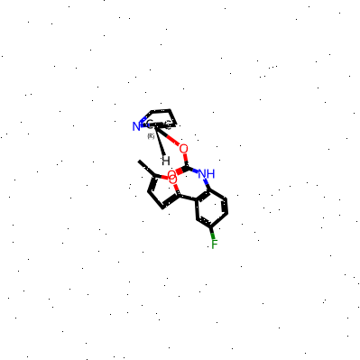 Cc1ccc(-c2cc(F)ccc2NC(=O)O[C@H]2CN3CCC2CC3)o1